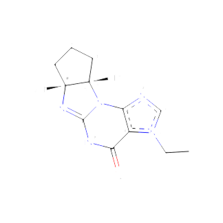 CCn1cnc2c1C(=O)NC1=N[C@@H]3CCC[C@@H]3N12